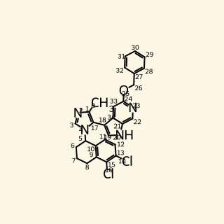 Cc1ncn(C2CCCc3c2ccc(Cl)c3Cl)c1-c1c[nH]c2cnc(OCc3ccccc3)cc12